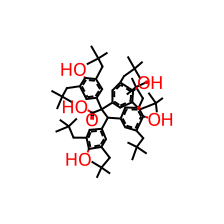 CC(C)(C)Cc1cc(C(c2cc(CC(C)(C)C)c(O)c(CC(C)(C)C)c2)C(C(=O)O)(c2cc(CC(C)(C)C)c(O)c(CC(C)(C)C)c2)c2cc(CC(C)(C)C)c(O)c(CC(C)(C)C)c2)cc(CC(C)(C)C)c1O